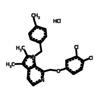 Cc1ccc(Cn2c(C)c(C)c3ccnc(COc4ccc(Cl)c(Cl)c4)c32)cc1.Cl